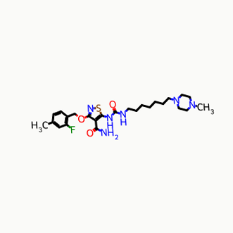 Cc1ccc(COc2nsc(NC(=O)NCCCCCCCN3CCN(C)CC3)c2C(N)=O)c(F)c1